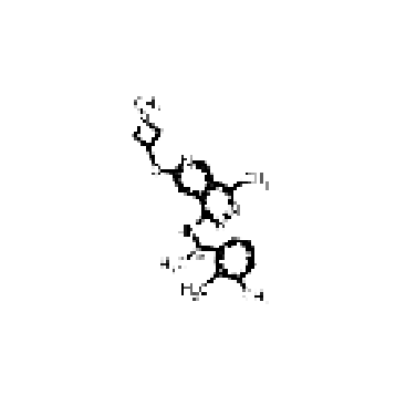 Cc1cccc([C@@H](C)Nc2nnc(C)c3cnc(OC4CN(C)C4)cc23)c1C